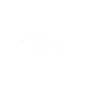 COc1ncnc2c(N[C@@H]3O[C@H](CO)[C@@H](O)[C@H]3O)ncnc12